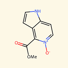 COC(=O)c1c2cc[nH]c2cc[n+]1[O-]